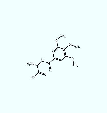 COc1cc(C(=O)N[C@@H](C)C(=O)O)cc(OC)c1OC